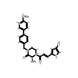 CCC[C@H]1C(=O)N(Cc2ccc(-c3ccc(OC)nc3)cc2)CCN1C(=O)C=Cc1cc(Cl)cs1